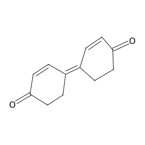 O=C1C=C/C(=C2\C=CC(=O)CC2)CC1